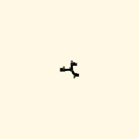 CCCCP(C(C)CC)C(C)CC